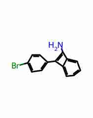 NC1=C(c2ccc(Br)cc2)c2ccccc21